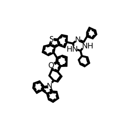 C1=CCC(C2NC(c3ccccc3)=NC(c3ccc4sc5cccc(-c6cccc7c8c(oc67)CC(n6c7ccccc7c7ccccc76)C=C8)c5c4c3)N2)C=C1